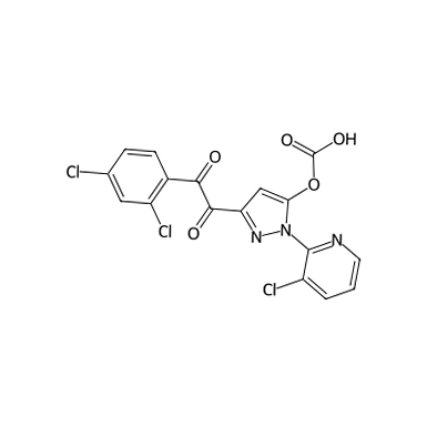 O=C(O)Oc1cc(C(=O)C(=O)c2ccc(Cl)cc2Cl)nn1-c1ncccc1Cl